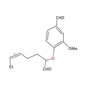 CC/C=C\CCC([C]=O)Oc1ccc(C=O)cc1OC